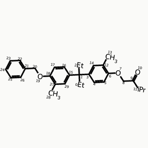 CCC(CC)(c1ccc(OCC(=O)C(C)C)c(C)c1)c1ccc(OCc2ccccc2)c(C)c1